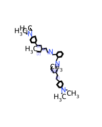 C\C=C/C(/C=C/c1ccc(N(CC)CC)cc1)=C\C=N\Cc1ccccc1C/N=C/C=C(\C=C/C)/C=C/c1ccc(N(CC)CC)cc1